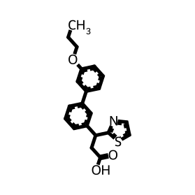 CCCOc1cccc(-c2cccc(C(CC(=O)O)c3nccs3)c2)c1